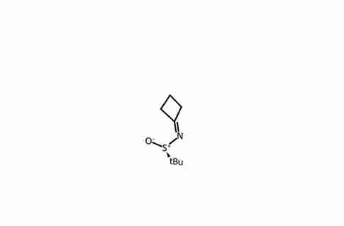 CC(C)(C)[S@@+]([O-])N=C1CCC1